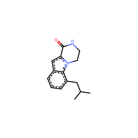 CC(C)Cc1cccc2cc3n(c12)CCNC3=O